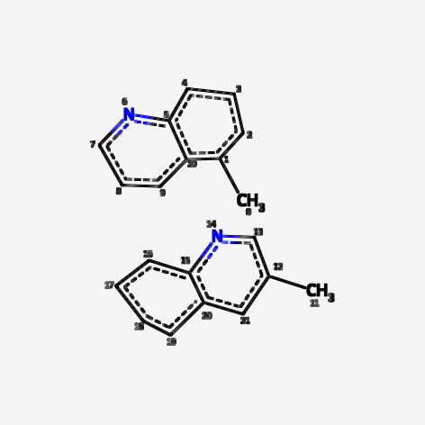 Cc1cccc2ncccc12.Cc1cnc2ccccc2c1